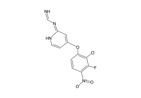 N=C/N=c1/cc(Oc2ccc([N+](=O)[O-])c(F)c2Cl)cc[nH]1